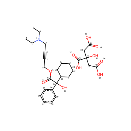 CCN(CC)CC#CCOC(=O)C(O)(c1ccccc1)C1CCCCC1.O=C(O)CC(O)(CC(=O)O)C(=O)O